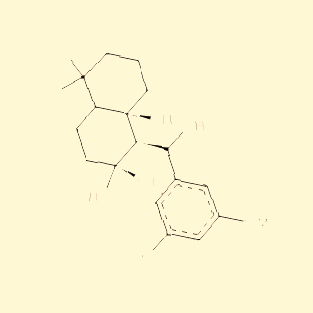 COc1cc(C)cc(C(O)[C@@H]2[C@@]3(C)CCCC(C)(C)C3CC[C@@]2(C)O)c1